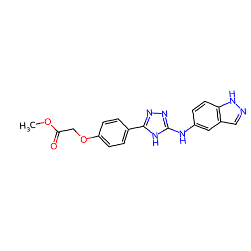 COC(=O)COc1ccc(-c2nnc(Nc3ccc4[nH]ncc4c3)[nH]2)cc1